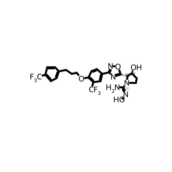 N/C(=N\O)N1CC[C@H](O)[C@H]1c1nc(-c2ccc(OCCCc3ccc(C(F)(F)F)cc3)c(C(F)(F)F)c2)no1